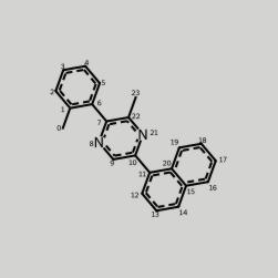 Cc1ccccc1-c1ncc(-c2cccc3ccccc23)nc1C